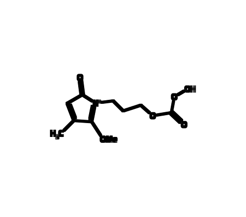 COC1=[N+](CCCOC(=O)OO)C(=O)C=C1C